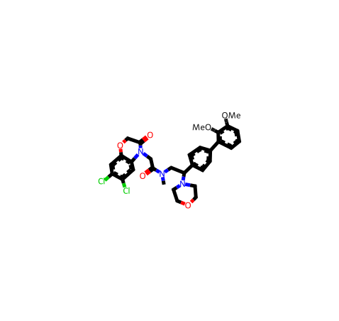 COc1cccc(-c2ccc(C(CN(C)C(=O)CN3C(=O)COc4cc(Cl)c(Cl)cc43)N3CCOCC3)cc2)c1OC